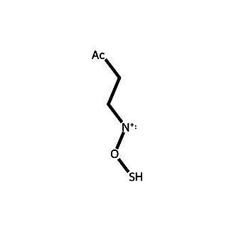 CC(=O)CC[N+]OS